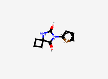 O=C1NC2(CCC2)C(=O)N1c1cccs1